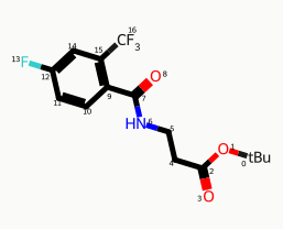 CC(C)(C)OC(=O)CCNC(=O)c1ccc(F)cc1C(F)(F)F